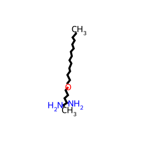 CCCCCCCCCCCCCCCOCCCC(N)C(C)N